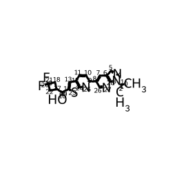 CC(C)n1ncc2cc(-c3ccc4cc([C@H](O)C5CC(F)(F)C5)sc4n3)cnc21